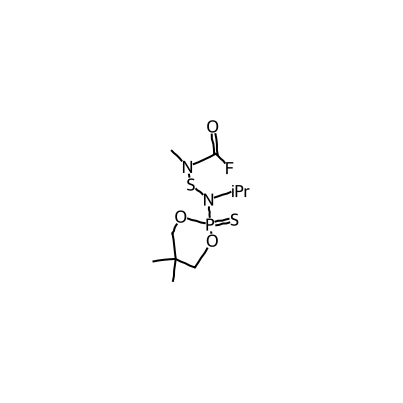 CC(C)N(SN(C)C(=O)F)P1(=S)OCC(C)(C)CO1